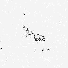 CCOC(=O)/C=C\c1ccc2cc(C3(N=[N+]=[N-])CCC3)n(C)c2c1